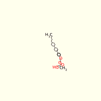 C=C(CO)C(=O)OCCOc1ccc(C2=CCC(C3CCC(CCCCC)CC3)CC2)cc1